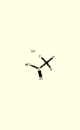 F.O=S(O)C(F)(F)F